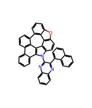 c1ccc2c(-c3nc4ccccc4nc3-n3c4ccc5oc6cccc7c6c5c4c4c5c-7cccc5c5ccccc5c43)cccc2c1